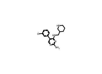 Nc1ncc(-c2cccc(Cl)c2)c(NCC2CCCNC2)n1